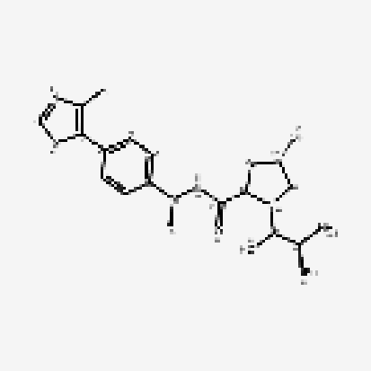 Cc1ncsc1-c1ccc([C@H](C)NC(=O)C2C[C@H](O)CN2C(O)[C@@H](N)C(C)(C)C)cc1